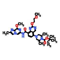 COCCOc1ncc2c(N3C[C@H](C)N(C(=O)OC(C)(C)C)[C@@H](C)C3)ccc(C(=O)Nc3cn4cc(C)nc4c(OC)n3)c2n1